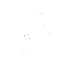 Cc1ccc(Cl)c(-c2ccc(CN3CCN(C(=O)c4ccccc4)C(c4ccccc4)C3)cc2)c1